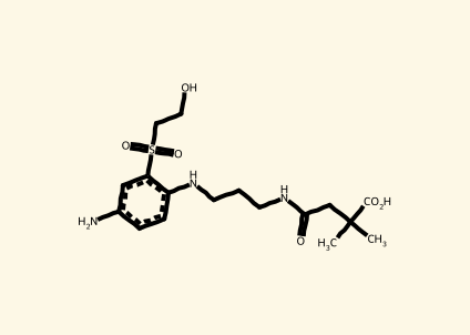 CC(C)(CC(=O)NCCCNc1ccc(N)cc1S(=O)(=O)CCO)C(=O)O